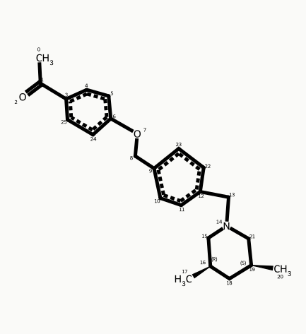 CC(=O)c1ccc(OCc2ccc(CN3C[C@H](C)C[C@H](C)C3)cc2)cc1